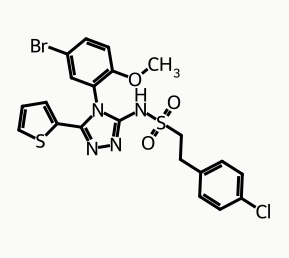 COc1ccc(Br)cc1-n1c(NS(=O)(=O)CCc2ccc(Cl)cc2)nnc1-c1cccs1